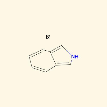 [B].c1ccc2c[nH]cc2c1